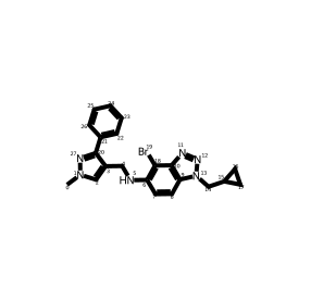 Cn1cc(CNc2ccc3c(nnn3CC3CC3)c2Br)c(-c2ccccc2)n1